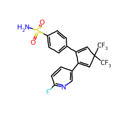 NS(=O)(=O)c1ccc(C2=CC(C(F)(F)F)(C(F)(F)F)C=C2c2ccc(F)nc2)cc1